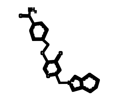 NC(=O)c1ccc(COc2coc(Cn3cc4ccccc4c3)cc2=O)cc1